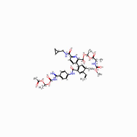 C=Cc1cc(C(=O)Nc2ccc(C(=N)NC(=O)OC(C)OC(=O)C(C)C)cc2)c(-c2ccc(C(=O)NCC3CC3)nc2C(=O)OC(C)OC(=O)[C@@H](NC(=O)OC(C)(C)C)C(C)C)cc1OC